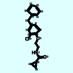 O=C(NCCOc1ccc(Cc2ccccc2)cc1Cl)C1CC1